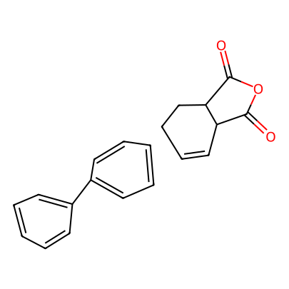 O=C1OC(=O)C2CCC=CC12.c1ccc(-c2ccccc2)cc1